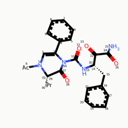 CC(=O)N1C=C(c2ccccc2)N(C(=O)N[C@@H](Cc2ccccc2)C(=O)C(N)=O)C(=O)[C@@H]1C(C)C